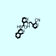 N#Cc1ncccc1CNc1ncccc1C(=O)Nc1cc2ccccc2cn1